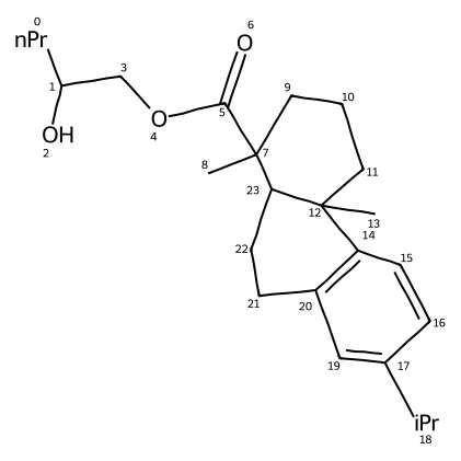 CCCC(O)COC(=O)C1(C)CCCC2(C)c3ccc(C(C)C)cc3CCC12